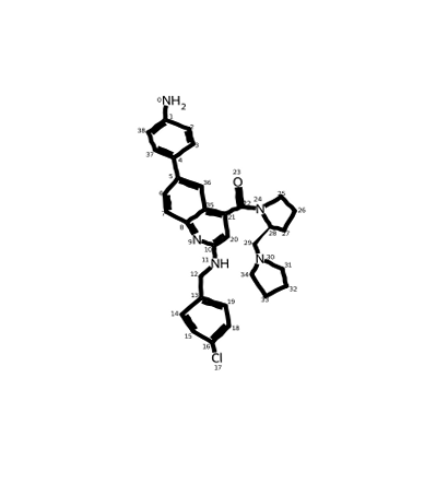 Nc1ccc(-c2ccc3nc(NCc4ccc(Cl)cc4)cc(C(=O)N4CCC[C@H]4CN4CCCC4)c3c2)cc1